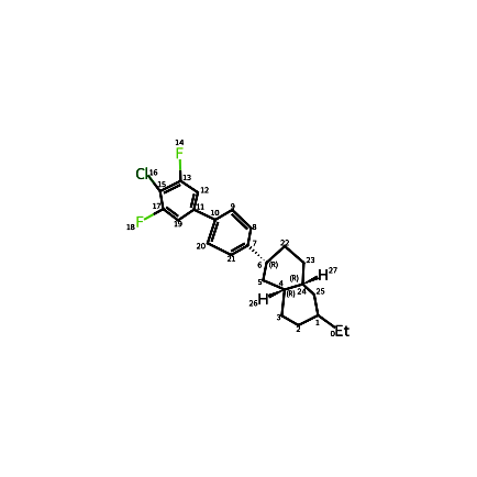 CCC1CC[C@@H]2C[C@H](c3ccc(-c4cc(F)c(Cl)c(F)c4)cc3)CC[C@@H]2C1